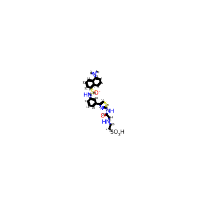 CN(C)c1cccc2c([S+]([O-])Nc3cccc(-c4csc(NC(=O)CNCCS(=O)(=O)O)n4)c3)cccc12